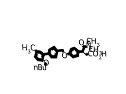 CCCCOc1ccc(C)cc1-c1ccc(COc2ccc([C@H](CC(=O)O)C(=O)N(C)C)cc2)cc1